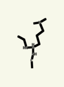 CCN[SiH](CCCN(C)C)NCC